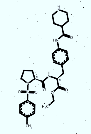 CCOC(=O)[C@H](Cc1ccc(NC(=O)C2CCNCC2)cc1)NC(=O)[C@@H]1CCCN1S(=O)(=O)c1ccc(C)cc1